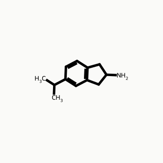 CC(C)c1ccc2c(c1)CC(N)C2